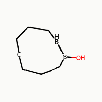 OB1BCCCCCCC1